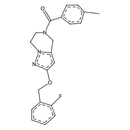 Cc1ccc(C(=O)N2CCn3nc(OCc4ccccc4F)cc3C2)cc1